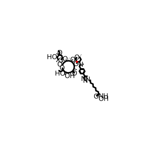 CCC1OC(=O)[C@H](C)[C@H](OC2C[C@@](C)(OC)[C@@H](O)[C@H](C)O2)[C@H](C)[C@@H](OC2C[C@@H](N(C)Cc3ccc(-c4cn(CCCCCCCC(=O)NO)nn4)cc3)C[C@@H](C)O2)[C@@](C)(OC)C[C@@H](C)C(=O)[C@H](C)[C@@H](O)[C@]1(C)O